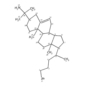 CC(C)CCCC(C)C1CCC2C3CC=C4CC(C(C)(C)N)CCC4(C)C3CCC12C